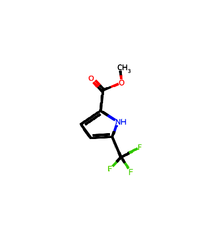 COC(=O)c1ccc(C(F)(F)F)[nH]1